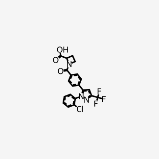 O=C(O)C1CCN1C(=O)c1ccc(-c2cc(C(F)(F)F)nn2-c2ccccc2Cl)cc1